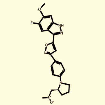 COc1cc2[nH]nc(-c3cc(-c4ccc(N5CCC[C@H]5C[S+](C)[O-])cc4)no3)c2cc1F